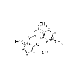 CC(CCCc1c(O)cccc1O)C1=CCN(C)CC1.Cl